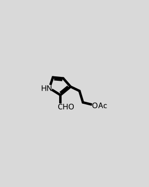 CC(=O)OCCc1cc[nH]c1C=O